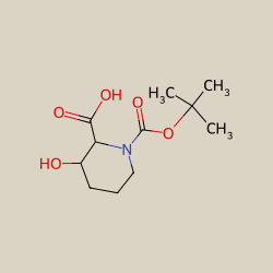 CC(C)(C)OC(=O)N1CCCC(O)C1C(=O)O